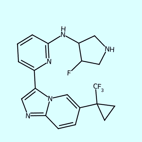 FC1CNCC1Nc1cccc(-c2cnc3ccc(C4(C(F)(F)F)CC4)cn23)n1